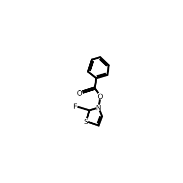 O=C(ON1C=CSC1F)c1ccccc1